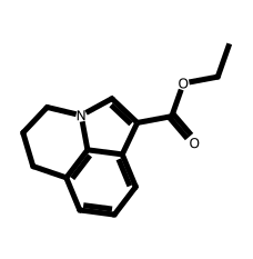 CCOC(=O)c1cn2c3c(cccc13)CCC2